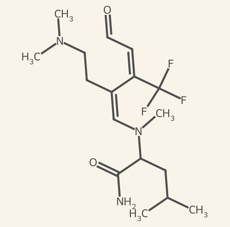 CC(C)CC(C(N)=O)N(C)/C=C(CCN(C)C)\C(=C/C=O)C(F)(F)F